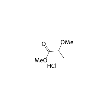 COC(=O)C(C)OC.Cl